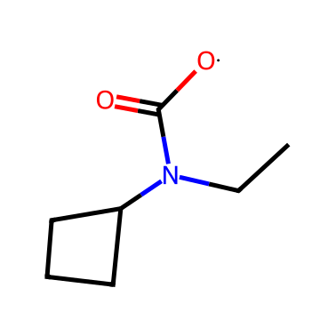 CCN(C([O])=O)C1CCC1